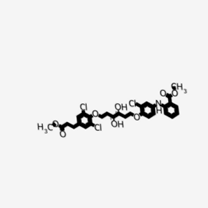 COC(=O)CCc1cc(Cl)c(OCC[C@@H](O)[C@H](O)CCOc2ccc(Nc3ccccc3C(=O)OC)cc2Cl)c(Cl)c1